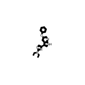 CCN(CC)c1nc(-c2c[nH]c3ncc(Oc4ccccc4)cc23)cs1